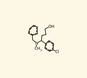 CN(Cc1ccccc1)C(CCCO)c1ccc(Cl)cc1